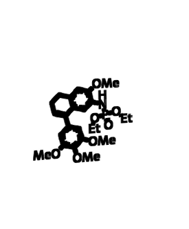 CCOP(=O)(Nc1cc2c(cc1OC)CCC=C2c1cc(OC)c(OC)c(OC)c1)OCC